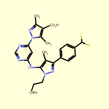 COCCn1nc(-c2ccc(C(F)F)cc2)c(C)c1Nc1cc(-n2nc(C)c(C(=O)O)c2C)ncn1